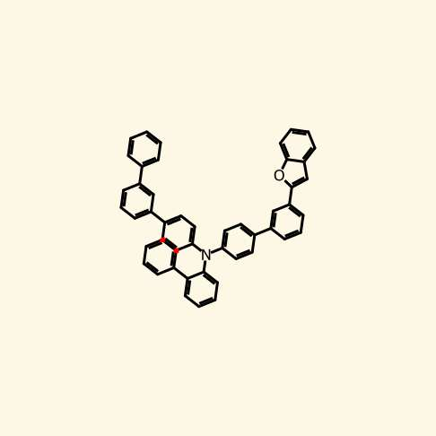 c1ccc(-c2cccc(-c3ccc(N(c4ccc(-c5cccc(-c6cc7ccccc7o6)c5)cc4)c4ccccc4-c4ccccc4)cc3)c2)cc1